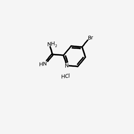 Cl.N=C(N)c1cc(Br)ccn1